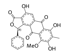 COc1c(O)c(C)c(O)c2c1C(=O)c1c(cc(O)c3c1[C@@H](c1ccccc1)OC3=O)C2=O